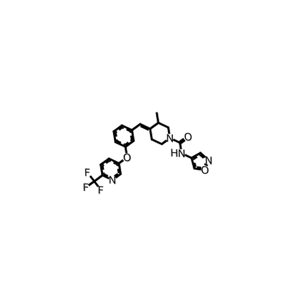 CC1CN(C(=O)Nc2cnoc2)CCC1=Cc1cccc(Oc2ccc(C(F)(F)F)nc2)c1